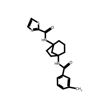 Cc1cccc(C(=O)NC23CCCC(NC(=O)c4nccs4)(CC2)C3)c1